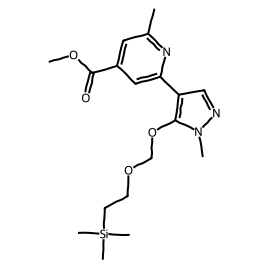 COC(=O)c1cc(C)nc(-c2cnn(C)c2OCOCC[Si](C)(C)C)c1